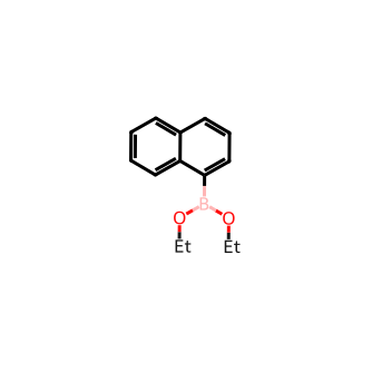 CCOB(OCC)c1cccc2ccccc12